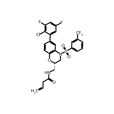 C=CCC(=O)NC[C@H]1CN(S(=O)(=O)c2cccc(C(F)(F)F)c2)c2cc(-c3cc(F)cc(F)c3Cl)ccc2O1